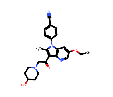 CCOc1cnc2c(C(=O)CN3CCC(O)CC3)c(C)n(-c3ccc(C#N)cc3)c2c1